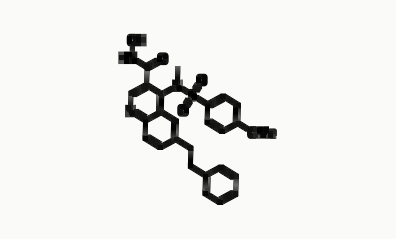 COc1ccc(S(=O)(=O)N(C)c2c(C(=O)NO)cnc3ccc(CCc4ccccc4)cc23)cc1